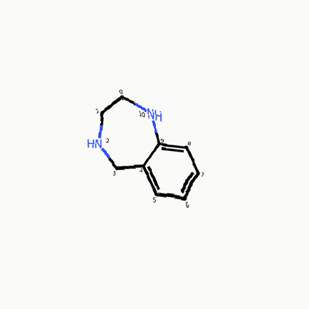 [CH]1CNCc2ccccc2N1